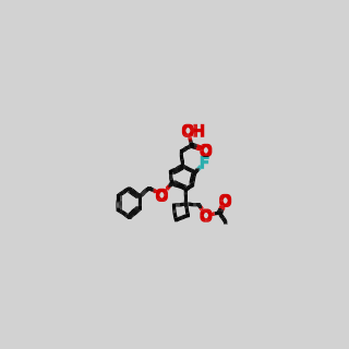 CC(=O)OCC1(c2cc(F)c(CC(=O)O)cc2OCc2ccccc2)CCC1